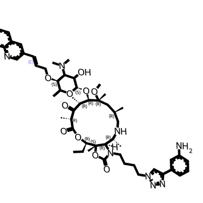 CC[C@H]1OC(=O)[C@H](C)C(=O)[C@H](C)[C@@H](O[C@@H]2OC(C)[C@@H](OC/C=C/c3cnc4ccccc4c3)C(N(C)C)C2O)[C@](C)(OC)C[C@@H](C)CN[C@H](C)[C@H]2N(CCCCn3cc(-c4cccc(N)c4)nn3)C(=O)O[C@]12C